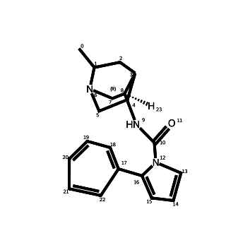 CC1CC2CCN1C[C@@H]2NC(=O)n1cccc1-c1ccccc1